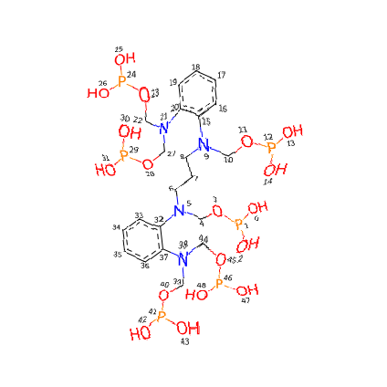 OP(O)OCN(CCCN(COP(O)O)c1ccccc1N(COP(O)O)COP(O)O)c1ccccc1N(COP(O)O)COP(O)O